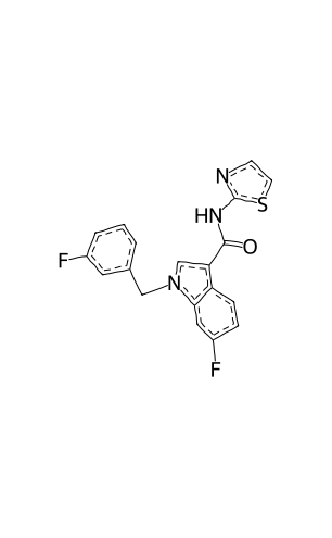 O=C(Nc1nccs1)c1cn(Cc2cccc(F)c2)c2cc(F)ccc12